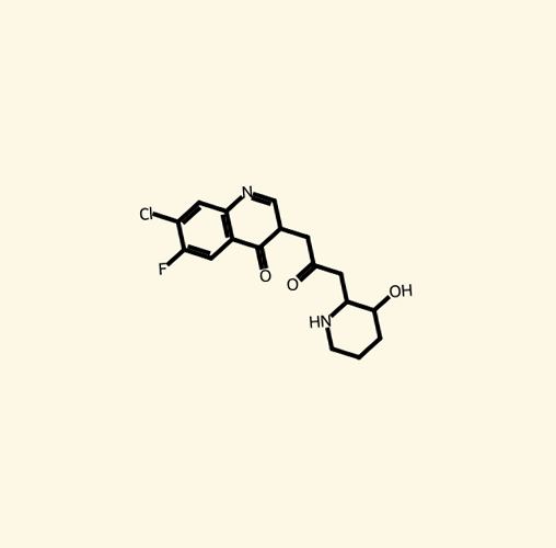 O=C(CC1C=Nc2cc(Cl)c(F)cc2C1=O)CC1NCCCC1O